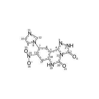 O=c1[nH]nc2c3cc(-n4ccnc4)c([N+](=O)[O-])cc3[nH]c(=O)n12